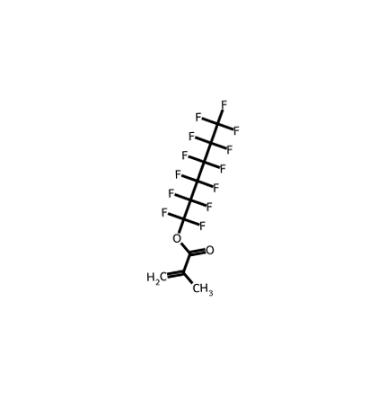 C=C(C)C(=O)OC(F)(F)C(F)(F)C(F)(F)C(F)(F)C(F)(F)C(F)(F)F